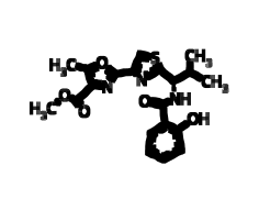 COC(=O)c1nc(-c2csc([C@@H](NC(=O)c3ccccc3O)C(C)C)n2)oc1C